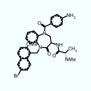 CN[C@@H](C)C(=O)NC1CN(C(=O)c2ccc(N)cc2)c2ccccc2N(Cc2c(OC)ccc3cc(Br)ccc23)C1=O